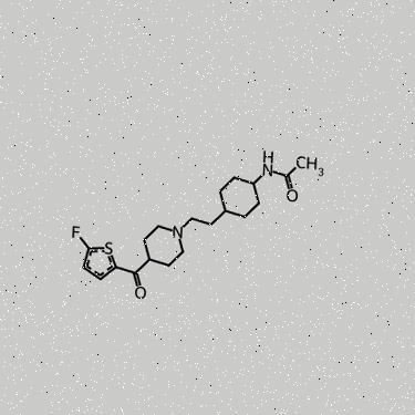 CC(=O)NC1CCC(CCN2CCC(C(=O)c3ccc(F)s3)CC2)CC1